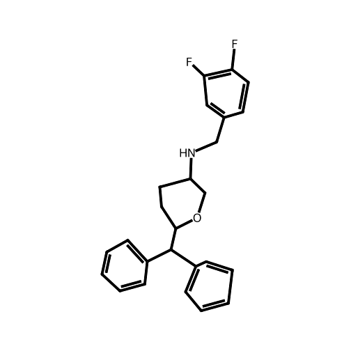 Fc1ccc(CNC2CCC(C(c3ccccc3)c3ccccc3)OC2)cc1F